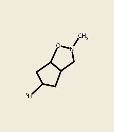 [3H]C1CC2CN(C)OC2C1